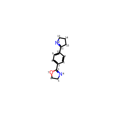 c1cc(C2=NCCO2)ccc1C1=NCCC1